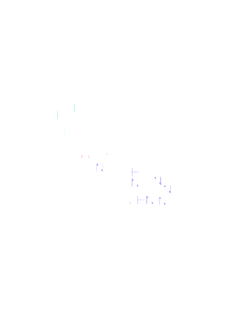 O=C(Nc1nnn[nH]1)C1CN(S(=O)(=O)c2cccc(C(F)(F)F)c2)Cc2ccccc21